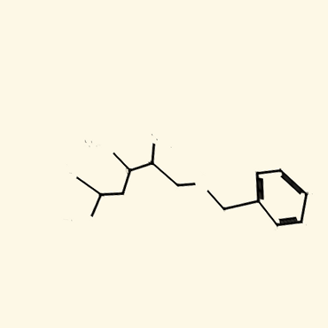 COC(CC(C(=O)O)C(C)C)C(N)COCc1ccccc1